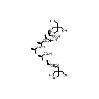 C=C(C)C(=O)O.C=C(C)C(=O)O.C=C(C)C(=O)O.C=CC(=O)O.C=CC(=O)O.C=CC(=O)O.OCC(CO)(CO)CO.OCC(CO)(CO)CO